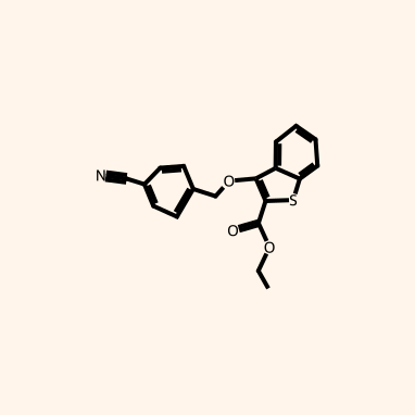 CCOC(=O)c1sc2ccccc2c1OCc1ccc(C#N)cc1